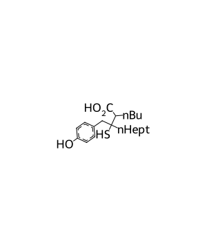 CCCCCCCC(S)(Cc1ccc(O)cc1)C(CCCC)C(=O)O